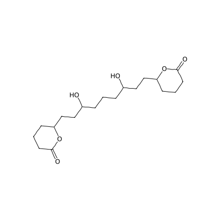 O=C1CCCC(CCC(O)CCCC(O)CCC2CCCC(=O)O2)O1